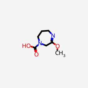 COC1=NCCCN(C(=O)O)C1